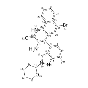 Nc1c(-c2ccc(F)c3nn(C4CCCCO4)cc23)c2cc(Br)c3ccccc3c2[nH]c1=O